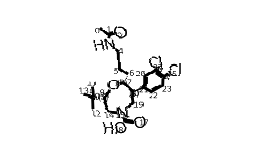 CC(=O)NCCC[C@H]1O[C@@H](C(C)(C)C)CN(C(=O)O)C[C@@H]1c1ccc(Cl)c(Cl)c1